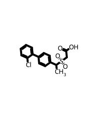 CC(c1ccc(-c2ccccc2Cl)cc1)S(=O)(=O)CC(=O)O